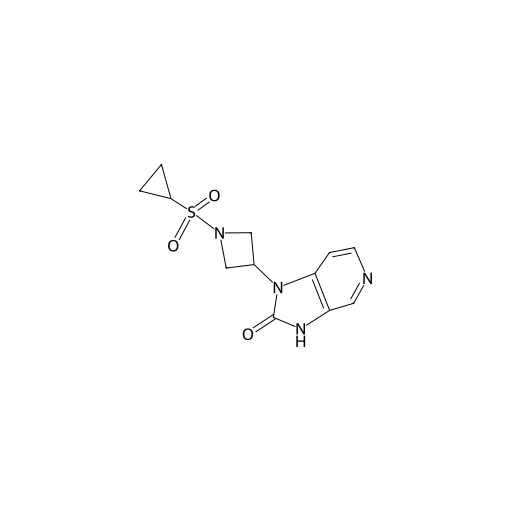 O=c1[nH]c2cnccc2n1C1CN(S(=O)(=O)C2CC2)C1